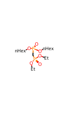 CCCCCCOP(=O)(CP(=O)(OCC)OCC)OCCCCCC